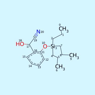 CCC[Si](CCC)(CCC)Oc1ccccc1C(O)C#N